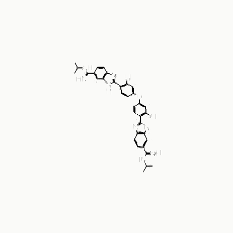 CC(C)NC(=N)c1ccc2nc(-c3ccc(Oc4ccc(-c5nc6ccc(C(=N)NC(C)C)cc6[nH]5)c(Cl)c4)cc3Cl)[nH]c2c1